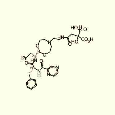 CC(C)C[C@@H](NC(=O)[C@@H](Cc1ccccc1)NC(=O)c1cnccn1)B1OCCN(CCNC(=O)CC(O)(C(=O)O)[PH](=O)O)CCO1